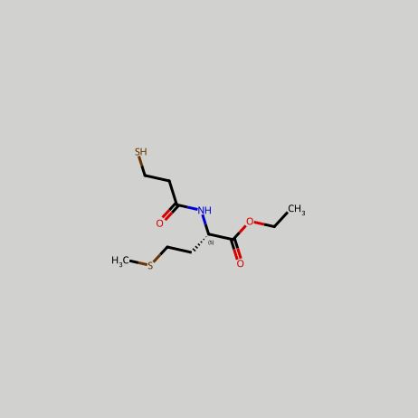 CCOC(=O)[C@H](CCSC)NC(=O)CCS